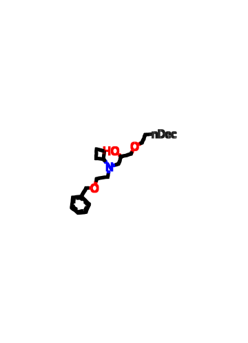 CCCCCCCCCCCCOCC(O)CN(CCOCc1ccccc1)C1CCC1